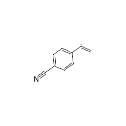 C=[C]c1ccc(C#N)cc1